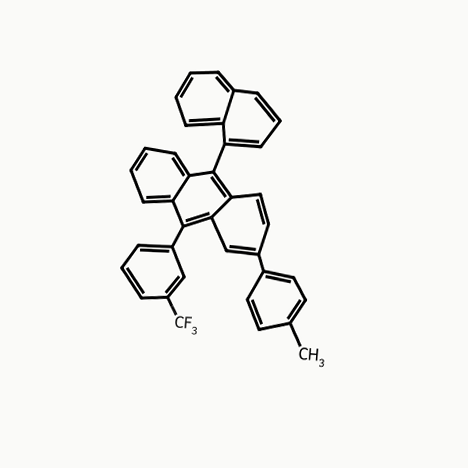 Cc1ccc(-c2ccc3c(-c4cccc5ccccc45)c4ccccc4c(-c4cccc(C(F)(F)F)c4)c3c2)cc1